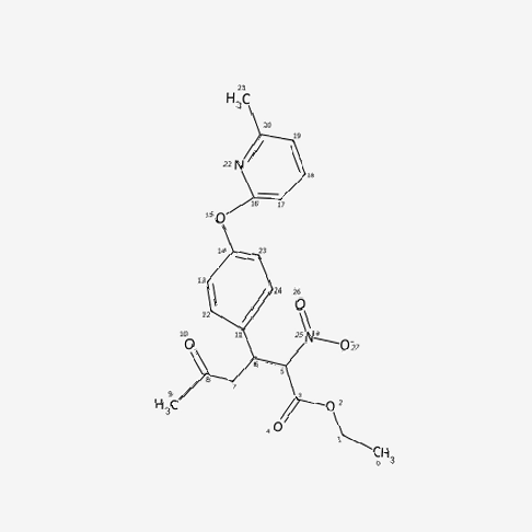 CCOC(=O)C(C(CC(C)=O)c1ccc(Oc2cccc(C)n2)cc1)[N+](=O)[O-]